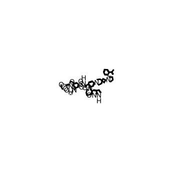 C=C(C)c1ccccc1[C@@H]1CCCN1C1CC2(CCN(c3ccc(C(=O)NS(=O)(=O)c4cc5c(c([N+](=O)[O-])c4)N[C@@H]([C@H]4COCCO4)CO5)c(N4CCCOc5nc6[nH]ccc6cc54)c3)CC2)C1